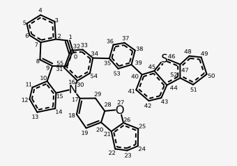 C1#Cc2ccccc2C=C(c2ccccc2N(C2=CC=C3c4ccccc4OC3C2)c2cccc(-c3cccc(-c4cccc5c4sc4ccccc45)c3)c2)C1